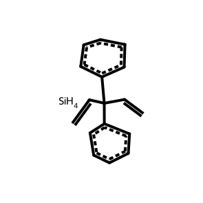 C=CC(C=C)(c1ccccc1)c1ccccc1.[SiH4]